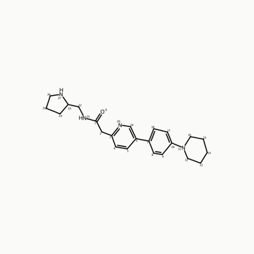 O=C(Cc1ccc(-c2ccc(N3CCCCC3)cc2)cn1)NCC1CCCN1